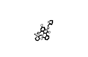 C[S+]([O-])N1CCCCC1CN1C(=O)c2ccccc2C(C(=O)NOCc2ccccn2)C1c1ccc(Cl)cc1Cl